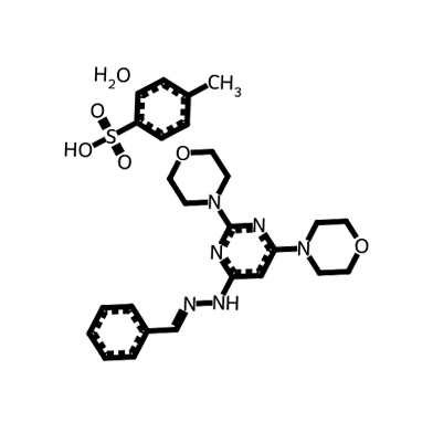 C(=NNc1cc(N2CCOCC2)nc(N2CCOCC2)n1)c1ccccc1.Cc1ccc(S(=O)(=O)O)cc1.O